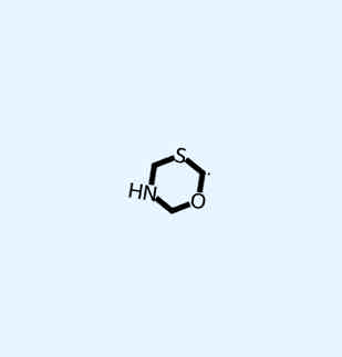 [CH]1OCNCS1